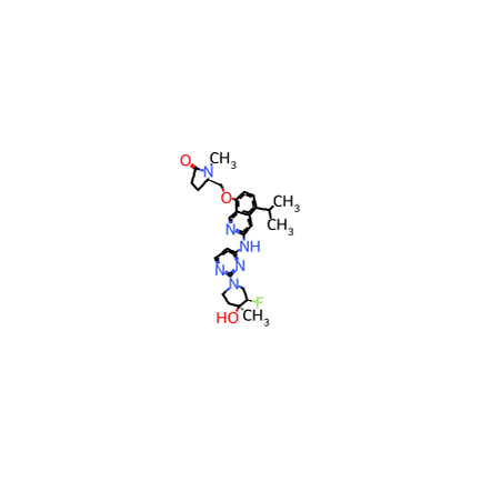 CC(C)c1ccc(OC[C@H]2CCC(=O)N2C)c2cnc(Nc3ccnc(N4CC[C@](C)(O)[C@H](F)C4)n3)cc12